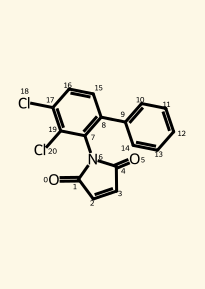 O=C1C=CC(=O)N1c1c(-c2ccccc2)ccc(Cl)c1Cl